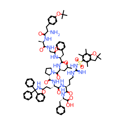 Cc1c(C)c(S(=O)(=O)NC(=N)NCCC[C@H](NC(=O)[C@H](CCC(=O)NC(c2ccccc2)(c2ccccc2)c2ccccc2)NC(=O)[C@@H]2CCCN2C(=O)[C@H](CC(C)C)NC(=O)[C@H](Cc2ccccc2)NC(=O)CNC(=O)[C@@H](C)NC(=O)[C@@H](N)Cc2ccc(OC(C)(C)C)cc2)C(=O)N[C@@H](Cc2ccccc2)C(=O)O)c(C)c2c1OC(C)(C)C2